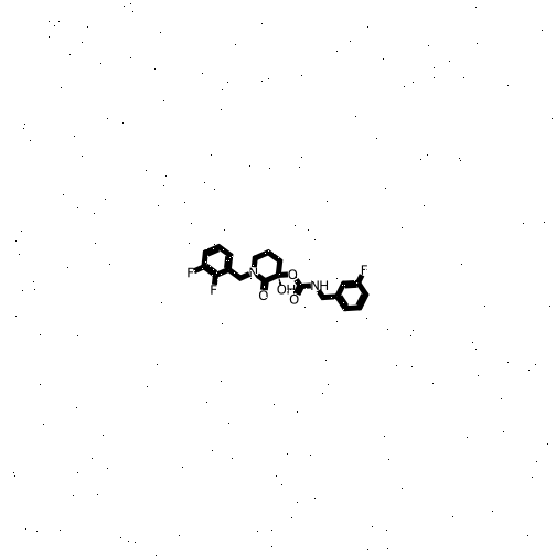 O=C(NCc1cccc(F)c1)O[C@]1(O)CCCN(Cc2cccc(F)c2F)C1=O